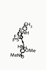 [2H]C1(NCC#Cc2cc3c(N[C@@H]4CCN(C)C[C@@H]4F)nccn3c2SC(F)F)C=CC(C(=O)NC)=CC1OC